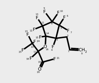 C=CCC1(F)C(F)(F)C(F)(F)C(F)(F)C1(F)OC(F)(C(=O)F)C(F)(F)F